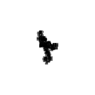 CO[C@]1(C)CC[C@@H](CNc2ccc(S(=O)(=O)NC(=O)c3ccc(N4CCC5(CC4)CC(N4CCC[C@H]4c4ccccc4C(C)C)C5)cc3N3c4cc5cc[nH]c5nc4O[C@@H]4COC[C@H]43)cc2[N+](=O)[O-])CC1.Cl